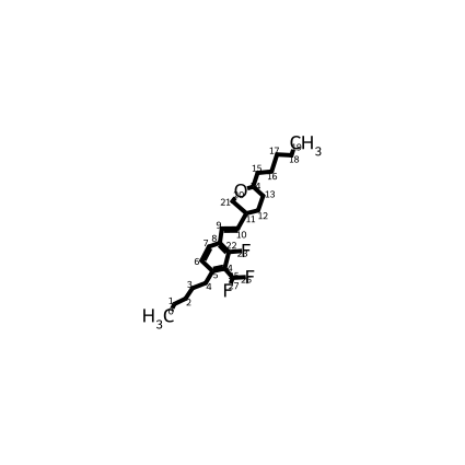 CCCCCc1ccc(/C=C/C2CCC(CCCCC)OC2)c(F)c1C(F)F